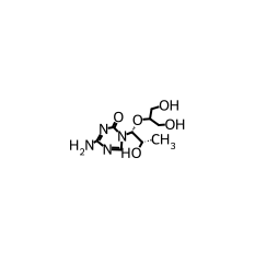 C[C@H](O)[C@@H](OC(CO)CO)n1cnc(N)nc1=O